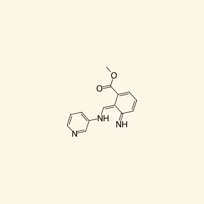 COC(=O)C1=CC=CC(=N)/C1=C\Nc1cccnc1